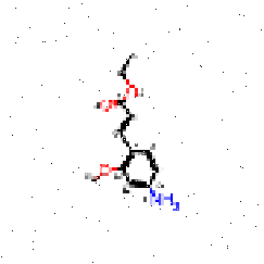 CCOC(=O)/C=C/c1ccc(N)cc1OC